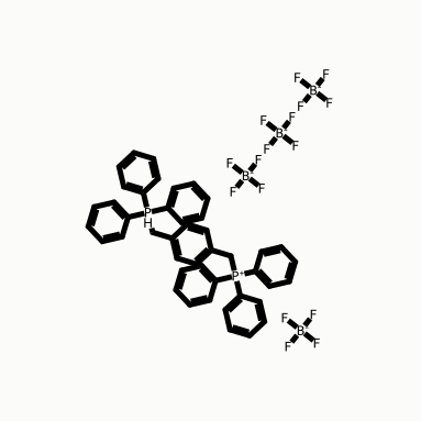 F[B-](F)(F)F.F[B-](F)(F)F.F[B-](F)(F)F.F[B-](F)(F)F.c1ccc([P+](Cc2ccc(C[PH](c3ccccc3)(c3ccccc3)c3ccccc3)cc2)(c2ccccc2)c2ccccc2)cc1